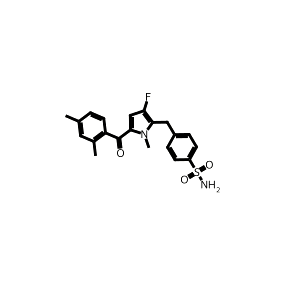 Cc1ccc(C(=O)c2cc(F)c(Cc3ccc(S(N)(=O)=O)cc3)n2C)c(C)c1